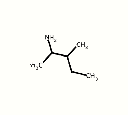 [CH2]C(N)C(C)CC